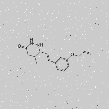 C=CCOc1cccc(/C=C/C2NNC(=O)CC2C)c1